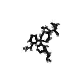 COc1cccc(C2(c3cccc(OC)c3)C=Cc3c(C(=O)N4CC4)n[nH]c3C2)c1